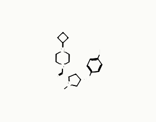 CN1C[C@@H](Oc2ccc(F)cc2)C[C@H]1C(=O)N1CCN(C2CCC2)CC1